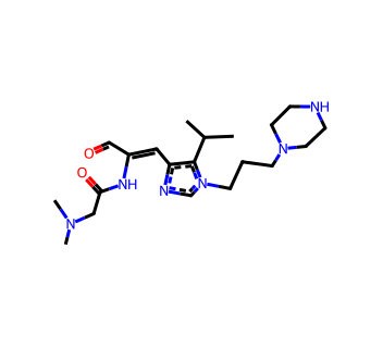 CC(C)c1c(/C=C(/C=O)NC(=O)CN(C)C)ncn1CCCN1CCNCC1